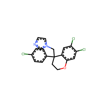 Clc1ccc(C2(Cn3ccnc3)CCOc3cc(Cl)c(Cl)cc32)cc1